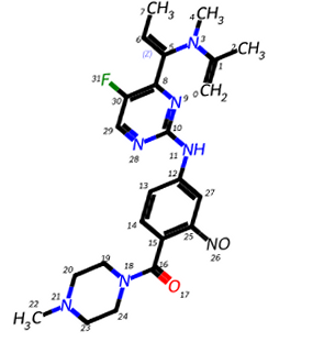 C=C(C)N(C)/C(=C\C)c1nc(Nc2ccc(C(=O)N3CCN(C)CC3)c(N=O)c2)ncc1F